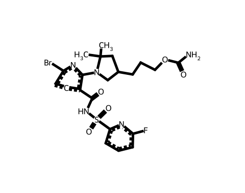 CC1(C)CC(CCCOC(N)=O)CN1c1nc(Br)ccc1C(=O)NS(=O)(=O)c1cccc(F)n1